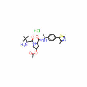 CC(=O)OC1CC(C(=O)N[C@@H](C)c2ccc(-c3scnc3C)cc2)N(C(=O)C(N)C(C)(C)C)C1.Cl